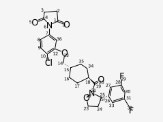 O=C1CCC(=O)N1c1ccc(Cl)c(OC[C@H]2CC[C@H](C(=O)N3OCC[C@H]3c3cc(F)cc(F)c3)CC2)c1